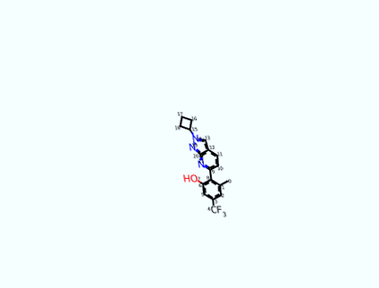 Cc1cc(C(F)(F)F)cc(O)c1-c1ccc2cn(C3CCC3)nc2n1